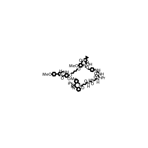 COc1ccc(C2=CN3C(=O)c4cc(OC)c(OCCCCCOc5cc6c(cc5OC)C(=O)N5CC7(CC7)C[C@H]5[C@H](O)N6COCc5ccc(NC(=O)[C@H](C)NC(=O)[C@@H](NC(=O)CNC(=O)CNC(=O)CCC(=O)N6Cc7ccccc7-c7c(nnn7C(C)C)-c7ccccc76)C(C)C)cc5)cc4NC[C@@H]3C2)cc1